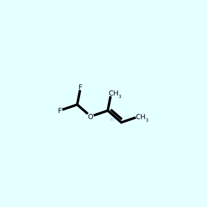 C/C=C(\C)OC(F)F